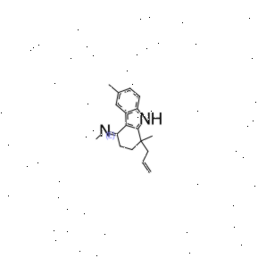 C=CCC1(C)CC/C(=N\C)c2c1[nH]c1ccc(C)cc21